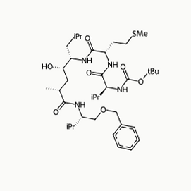 CSCC[C@H](NC(=O)[C@@H](NC(=O)OC(C)(C)C)C(C)C)C(=O)N[C@@H](CC(C)C)[C@@H](O)C[C@@H](C)C(=O)N[C@H](COCc1ccccc1)C(C)C